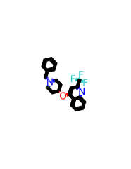 FC(F)(F)c1cc(OC2CCN(Cc3ccccc3)CC2)c2ccccc2n1